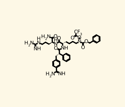 N=C(N)NCCC[C@H](NC(=O)[C@H](CCCCN(OC(=O)C(F)(F)F)C(=O)OCc1ccccc1)NC(=O)[C@@H](Cc1ccc(C(=N)N)cc1)c1ccccc1)C(N)=O